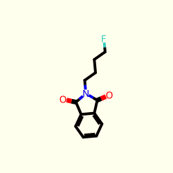 O=C1c2ccccc2C(=O)N1CCCCF